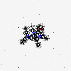 CC(C)(C)c1ccc(N2B3c4cc5c(cc4N(c4ccc(C(C)(C)C)cc4-c4ccccc4)c4cc(-c6ccccc6)cc(c43)-c3ccc(N(c4ccc(C(C)(C)C)cc4)c4ccc(C(C)(C)C)cc4)cc32)-c2ccccc2C5(C)C)cc1